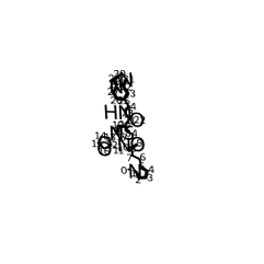 Cn1cccc1CCC(=O)N(C[C@H]1CCCO1)c1ncc(C(=O)NCc2ccn3ccnc3c2)s1